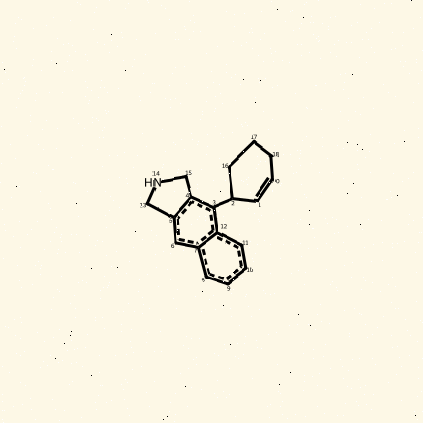 C1=CC(c2c3c(cc4ccccc24)CNC3)CCC1